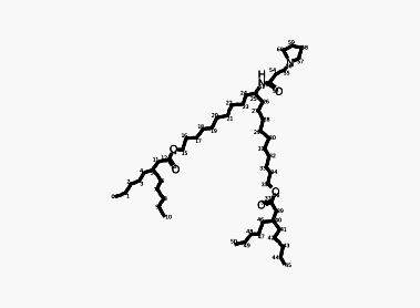 CCCCCC(CCCCC)CC(=O)OCCCCCCCCCCC(CCCCCCCCCCOC(=O)CC(CCCCC)CCCCC)NC(=O)CCN1CCCC1